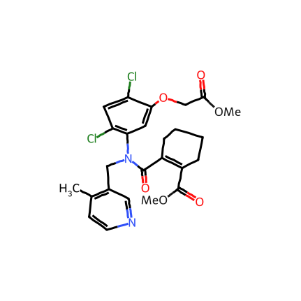 COC(=O)COc1cc(N(Cc2cnccc2C)C(=O)C2=C(C(=O)OC)CCCC2)c(Cl)cc1Cl